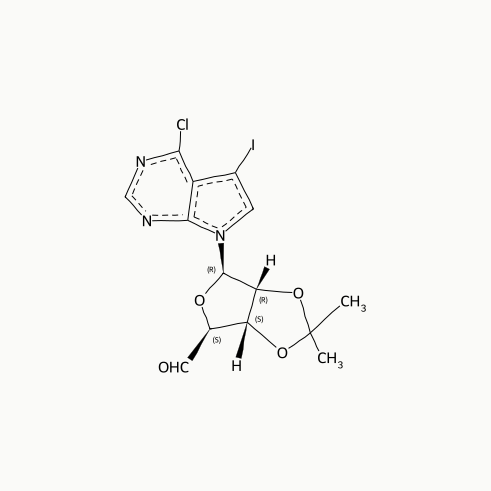 CC1(C)O[C@@H]2[C@H](O1)[C@@H](C=O)O[C@H]2n1cc(I)c2c(Cl)ncnc21